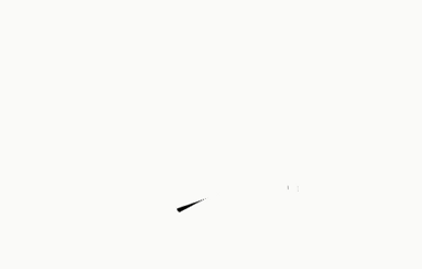 CC(C)(C)[C@@H]1COc2ccccc21